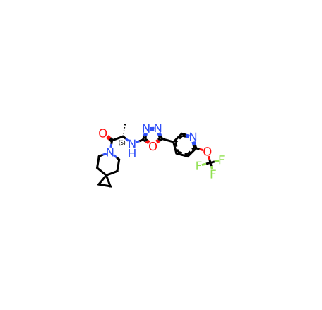 C[C@H](Nc1nnc(-c2ccc(OC(F)(F)F)nc2)o1)C(=O)N1CCC2(CC1)CC2